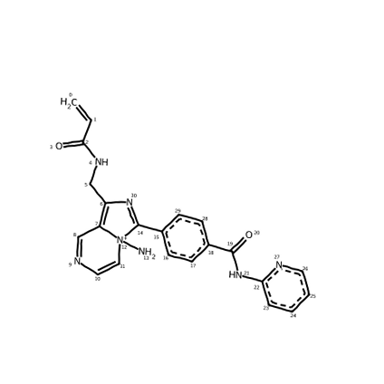 C=CC(=O)NCC1=C2C=NC=C[N+]2(N)C(c2ccc(C(=O)Nc3ccccn3)cc2)=N1